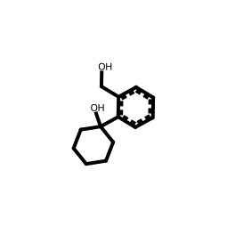 OCc1ccccc1C1(O)CCCCC1